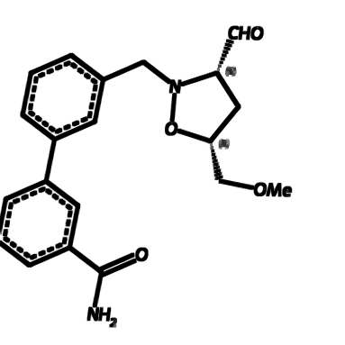 COC[C@H]1C[C@@H](C=O)N(Cc2cccc(-c3cccc(C(N)=O)c3)c2)O1